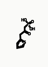 O=C(Cc1cccs1)CP(=O)(O)O